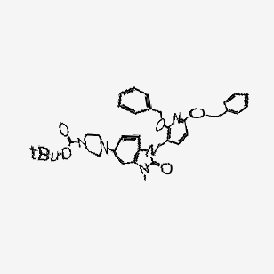 Cn1c(=O)n(-c2ccc(OCc3ccccc3)nc2OCc2ccccc2)c2ccc(N3CCN(C(=O)OC(C)(C)C)CC3)cc21